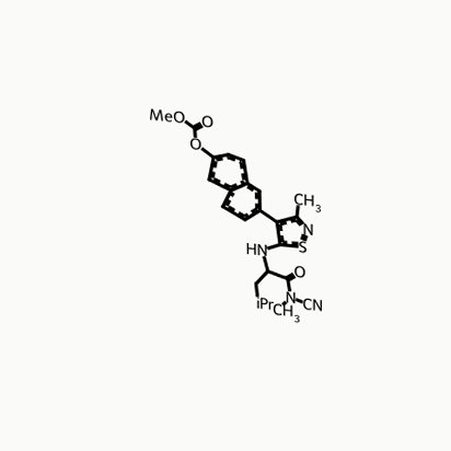 COC(=O)Oc1ccc2cc(-c3c(C)nsc3NC(CC(C)C)C(=O)N(C)C#N)ccc2c1